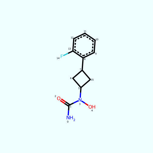 NC(=O)N(O)C1CC(c2ccccc2F)C1